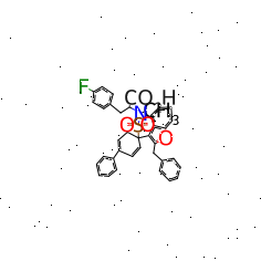 CN(C(Cc1ccc(F)cc1)C(=O)O)S(=O)(=O)C1(c2c(Cc3ccccc3)oc3ccccc23)C=CC(c2ccccc2)=CC1